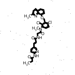 CCC(=O)Nc1ccc(C=CC(=O)NCC(=O)N(C)c2ccc(Cl)c(COc3cccc4ccc(C)nc34)c2Cl)cn1